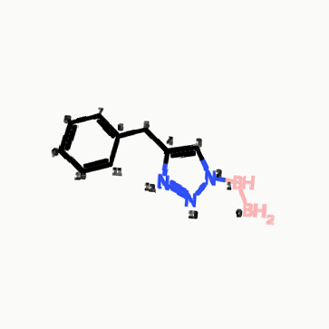 BBn1cc(Cc2ccccc2)nn1